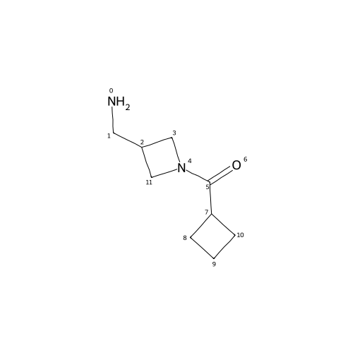 NCC1CN(C(=O)C2CCC2)C1